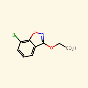 O=C(O)COc1noc2c(Cl)cccc12